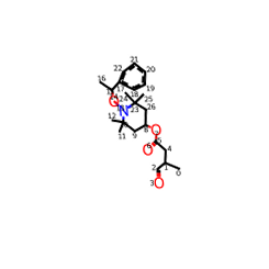 CC(C=O)CC(=O)OC1CC(C)(C)N(OC(C)c2ccccc2)C(C)(C)C1